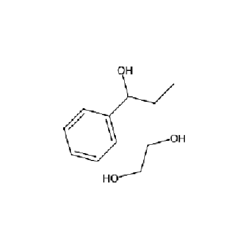 CCC(O)c1ccccc1.OCCO